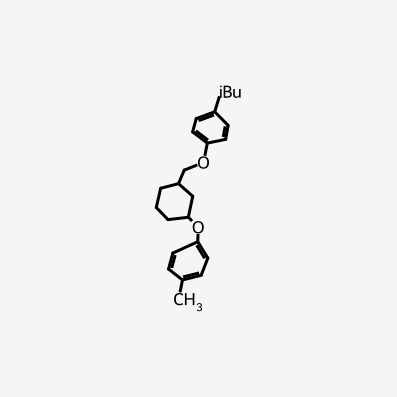 CCC(C)c1ccc(OCC2CCCC(Oc3ccc(C)cc3)C2)cc1